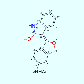 CC(=O)Nc1ccc2c(c1)CO/C2=C1/C(=O)Nc2ccccc21